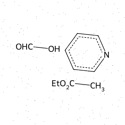 CCOC(C)=O.O=CO.c1ccncc1